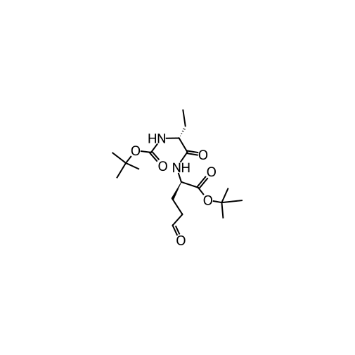 CC[C@@H](NC(=O)OC(C)(C)C)C(=O)N[C@H](CCC=O)C(=O)OC(C)(C)C